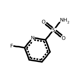 NS(=O)(=O)c1cccc(F)n1